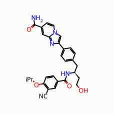 CC(C)Oc1ccc(C(=O)N[C@H](CCO)Cc2ccc(-c3cn4ccc(C(N)=O)cc4n3)cc2)cc1C#N